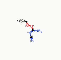 CCOOC(N)=NC#N